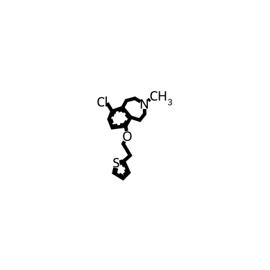 CN1CCc2c(Cl)ccc(OCCc3cccs3)c2CC1